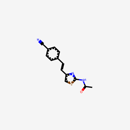 CC(=O)Nc1nc(C=Cc2ccc(C#N)cc2)cs1